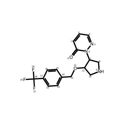 O=c1cccnn1C1CNCC1OCc1ccc(C(F)(F)F)cc1